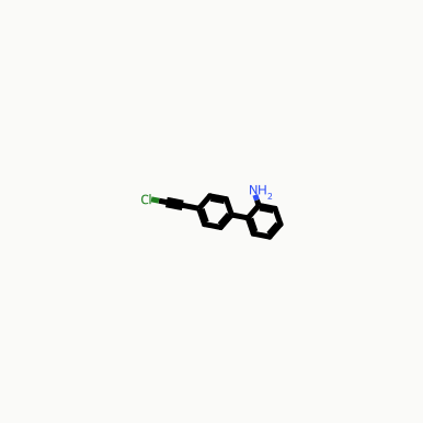 Nc1ccccc1-c1ccc(C#CCl)cc1